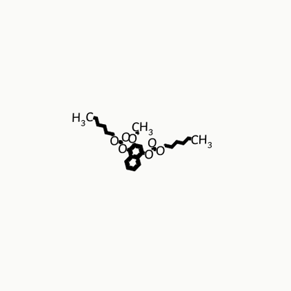 CCCCCCOC(=O)Oc1cc(OCC)c(OC(=O)OCCCCCC)c2ccccc12